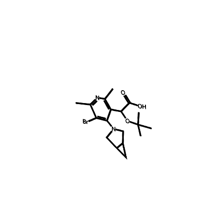 Cc1nc(C)c(C(OC(C)(C)C)C(=O)O)c(N2CC3CC3C2)c1Br